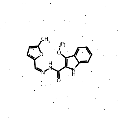 Cc1ccc(/C=N\NC(=O)c2[nH]c3ccccc3c2OC(C)C)o1